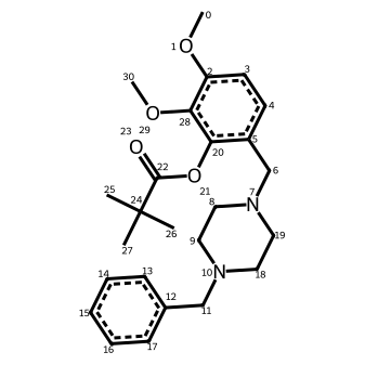 COc1ccc(CN2CCN(Cc3ccccc3)CC2)c(OC(=O)C(C)(C)C)c1OC